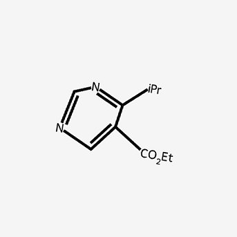 CCOC(=O)c1cncnc1C(C)C